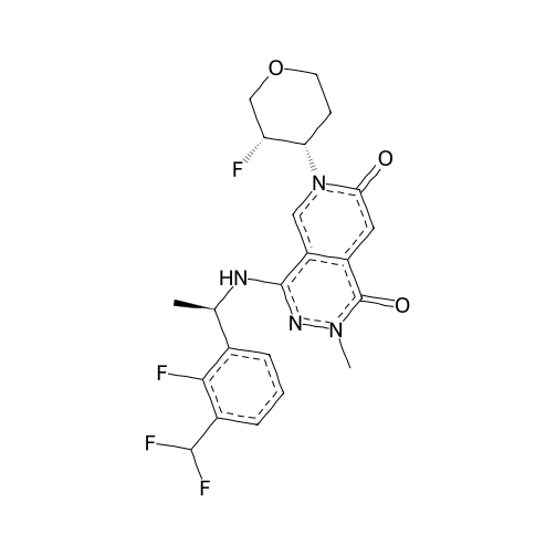 C[C@@H](Nc1nn(C)c(=O)c2cc(=O)n([C@H]3CCOC[C@H]3F)cc12)c1cccc(C(F)F)c1F